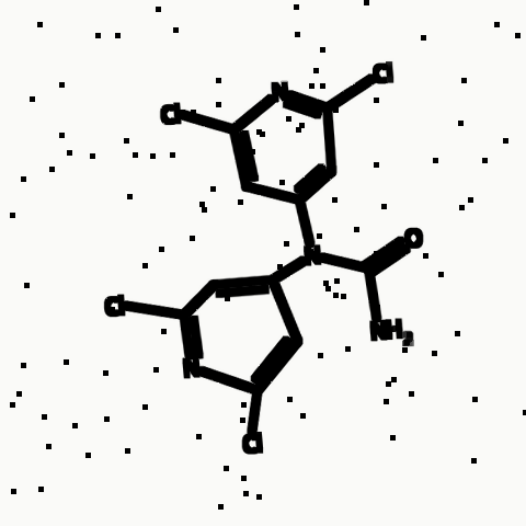 NC(=O)N(c1cc(Cl)nc(Cl)c1)c1cc(Cl)nc(Cl)c1